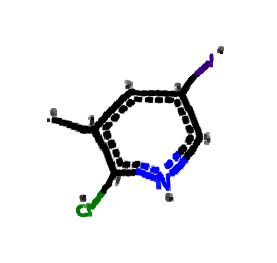 [CH2]c1cc(I)cnc1Cl